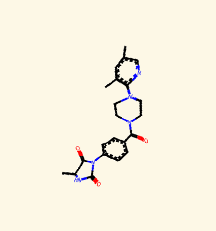 Cc1cnc(N2CCN(C(=O)c3ccc(N4C(=O)NC(C)C4=O)cc3)CC2)c(C)c1